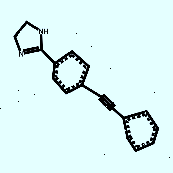 C(#Cc1ccc(C2=NCCN2)cc1)c1ccccc1